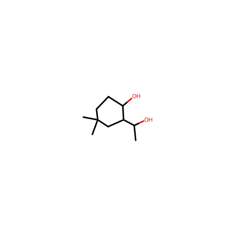 CC(O)C1CC(C)(C)CCC1O